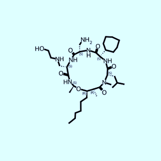 CCCCCC[C@H]1O[C@@H](C)NC(=O)[C@H](CNCCO)NC(=O)[C@H](CN)NC(=O)[C@H](C2CCCCCC2)NC(=O)[C@H](CC(C)C)N(C)C(=O)[C@@H]1C